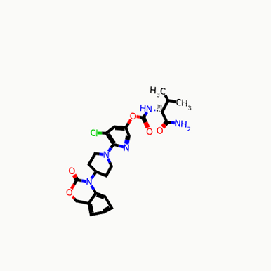 CC(C)[C@@H](NC(=O)Oc1cnc(N2CCC(N3C(=O)OCc4ccccc43)CC2)c(Cl)c1)C(N)=O